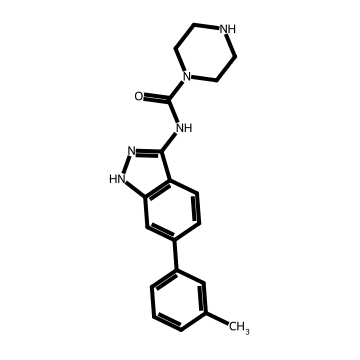 Cc1cccc(-c2ccc3c(NC(=O)N4CCNCC4)n[nH]c3c2)c1